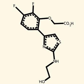 O=C(O)COc1c(-c2csc(NCCO)n2)ccc(F)c1F